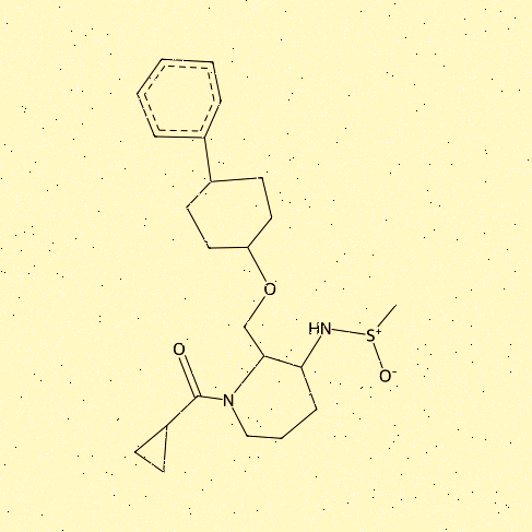 C[S+]([O-])NC1CCCN(C(=O)C2CC2)C1COC1CCC(c2ccccc2)CC1